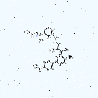 NN/N=C(\N)c1ccnc(OCCN(N)C(=O)c2cc(-c3ccc(OC(F)(F)F)cc3)ccc2N)n1